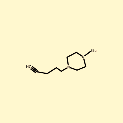 C#CCCCN1CCN(C(C)(C)C)CC1